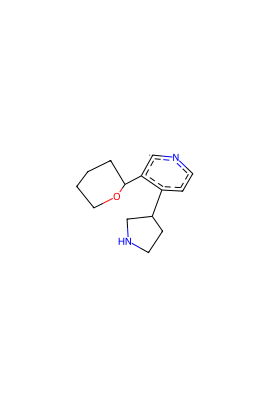 [c]1nccc(C2CCNC2)c1C1CCCCO1